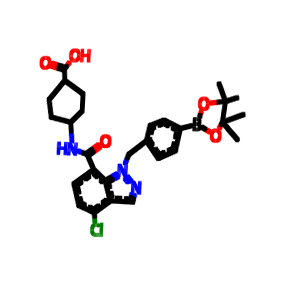 CC1(C)OB(c2ccc(Cn3ncc4c(Cl)ccc(C(=O)NC5CCC(C(=O)O)CC5)c43)cc2)OC1(C)C